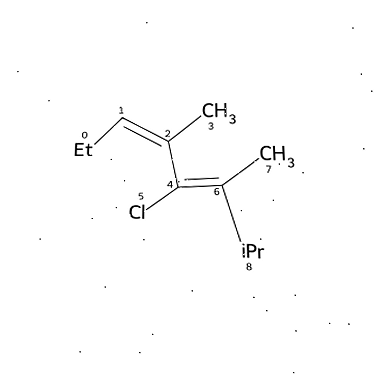 CC/C=C(C)\C(Cl)=C(/C)C(C)C